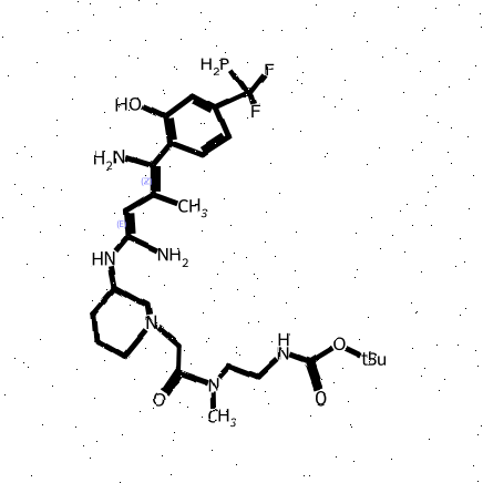 CC(/C=C(\N)NC1CCCN(CC(=O)N(C)CCNC(=O)OC(C)(C)C)C1)=C(/N)c1ccc(C(F)(F)P)cc1O